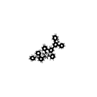 c1ccc(-c2nc(-c3ccccc3-c3cccc(-c4cc(-c5ccccc5)c5sc6ccccc6c5c4)c3)nc(-c3cccc4c3c3ccccc3n4-c3ccccc3)n2)cc1